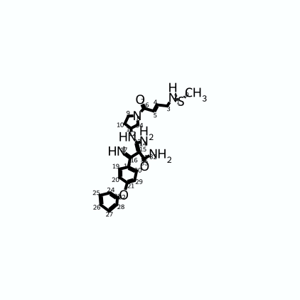 CSNC/C=C/C(=O)N1CCC(N/C(N)=C(\C(=N)c2ccc(Oc3ccccc3)cc2)C(N)=O)C1